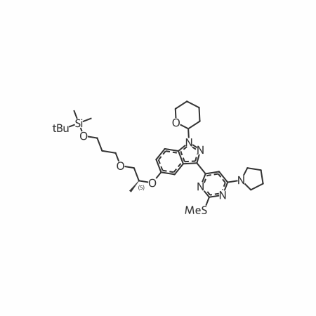 CSc1nc(-c2nn(C3CCCCO3)c3ccc(O[C@@H](C)COCCCO[Si](C)(C)C(C)(C)C)cc23)cc(N2CCCC2)n1